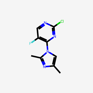 Cc1cn(-c2nc(Cl)ncc2F)c(C)n1